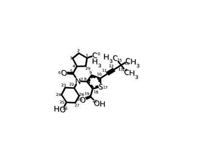 CC1CCC(C(=O)N(c2cc(C#CC(C)(C)C)sc2C(=O)O)C2CCC(O)CC2)C1